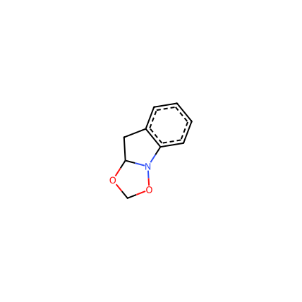 c1ccc2c(c1)CC1OCON21